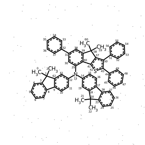 CC1(C)c2ccccc2-c2ccc(N(c3ccc4c(c3)C(C)(C)c3ccccc3-4)c3cc(-c4ccccc4)cc4c3-c3sc(-c5ccccc5)c(-c5ccccc5)c3C4(C)C)cc21